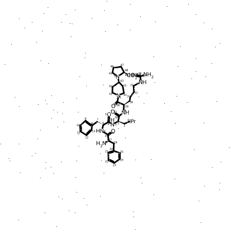 CC(C)C[C@@H](NC(=O)[C@@H](Cc1ccccc1)NC(=O)[C@H](N)Cc1ccccc1)C(=O)N[C@H](CCCCNC(=N)N)C(=O)N1CCC(N2CCC[C@H]2C(=O)O)CC1